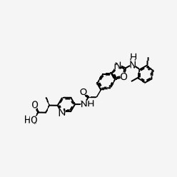 Cc1cccc(C)c1Nc1nc2ccc(CC(=O)Nc3ccc(C(C)CC(=O)O)nc3)cc2o1